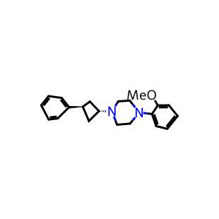 COc1ccccc1N1CCN([C@H]2C[C@H](c3ccccc3)C2)CC1